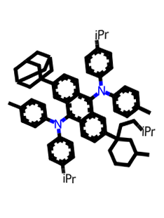 Cc1ccc(N(c2ccc(C(C)C)cc2)c2c3ccc(C45CC6CC(CC(C6)C4)C5)cc3c(N(c3ccc(C)cc3)c3ccc(C(C)C)cc3)c3ccc(C4(CCC(C)C)CCCC(C)C4)cc23)cc1